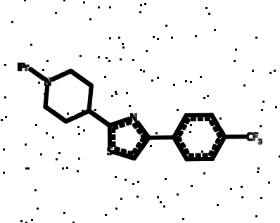 CC(C)N1CCC(c2nc(-c3ccc(C(F)(F)F)cc3)cs2)CC1